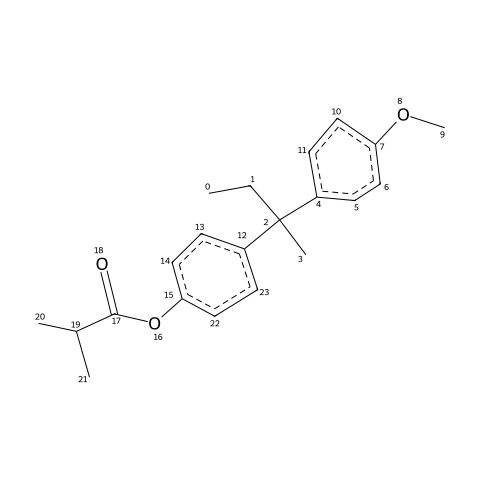 CCC(C)(c1ccc(OC)cc1)c1ccc(OC(=O)C(C)C)cc1